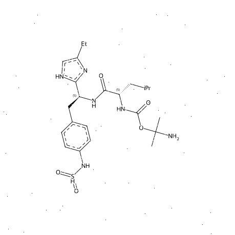 CCc1c[nH]c([C@H](Cc2ccc(N[SH](=O)=O)cc2)NC(=O)[C@H](CC(C)C)NC(=O)OC(C)(C)N)n1